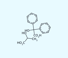 CC(O)C(=O)O.O=C(O)C(O)(c1ccccc1)c1ccccc1